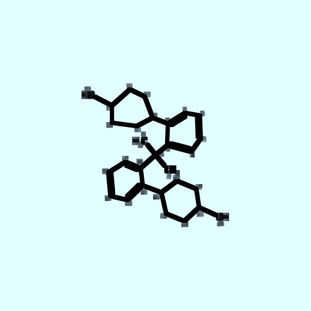 CC(C)(c1ccccc1C1CCC(O)CC1)c1ccccc1C1CCC(O)CC1